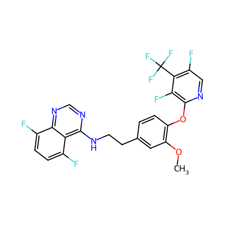 COc1cc(CCNc2ncnc3c(F)ccc(F)c23)ccc1Oc1ncc(F)c(C(F)(F)F)c1F